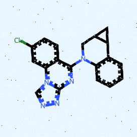 Clc1ccc2c(N3CC4CC4c4ccccc43)nc3nncn3c2c1